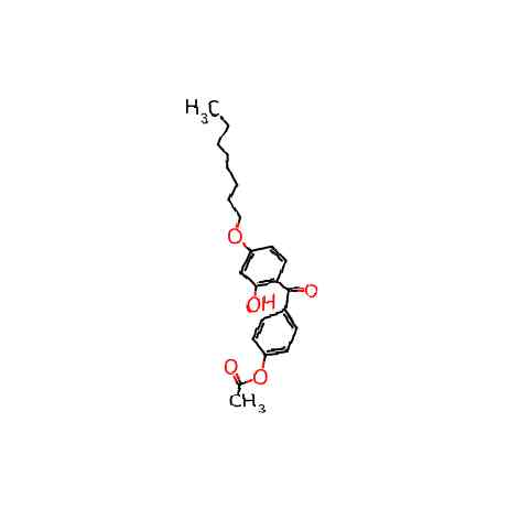 CCCCCCCCOc1ccc(C(=O)c2ccc(OC(C)=O)cc2)c(O)c1